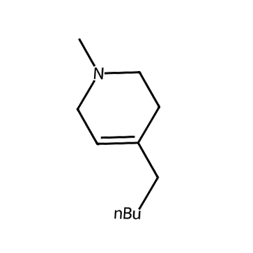 CCCCCC1=CCN(C)CC1